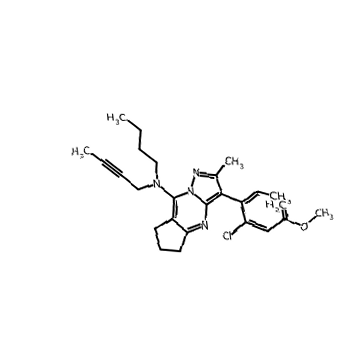 C=C(/C=C(Cl)\C(=C/C)c1c(C)nn2c(N(CC#CC)CCCC)c3c(nc12)CCC3)OC